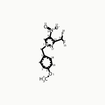 COc1ccc(Cn2cc([N+](=O)[O-])c(C(F)F)n2)cc1